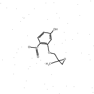 CC1(COc2cc(O)ccc2[N+](=O)[O-])CO1